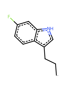 [CH2]CCc1c[nH]c2cc(F)ccc12